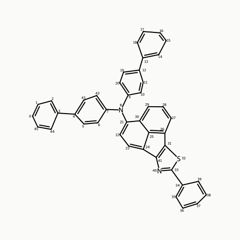 c1ccc(-c2ccc(N(c3ccc(-c4ccccc4)cc3)c3ccc4c5c(cccc35)-c3sc(-c5ccccc5)nc3-4)cc2)cc1